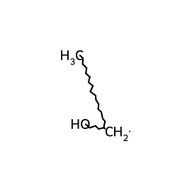 [CH2]C(CCCO)CCCCCCCCCCCCCCCC